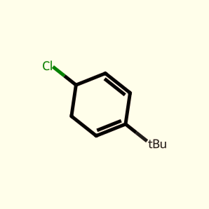 CC(C)(C)C1=CCC(Cl)C=C1